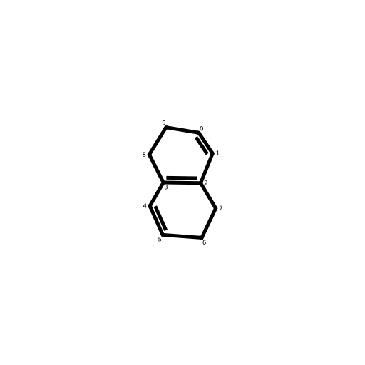 C1=CC2=C(C=CCC2)CC1